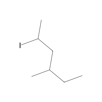 CCC(C)CC(C)I